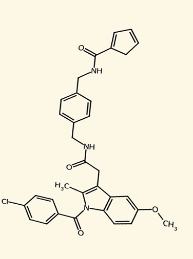 COc1ccc2c(c1)c(CC(=O)NCc1ccc(CNC(=O)C3=CC=CC3)cc1)c(C)n2C(=O)c1ccc(Cl)cc1